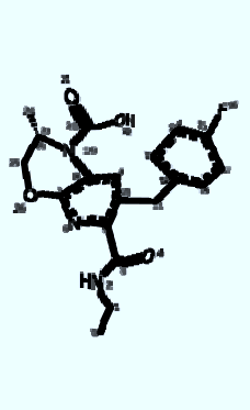 CCNC(=O)c1nc2c(cc1Cc1ccc(F)cc1)N(C(=O)O)[C@@H](C)CO2